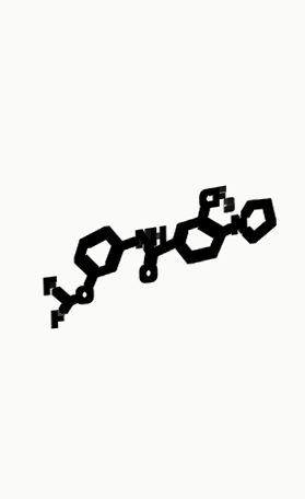 O=C(Nc1cccc(OC(F)F)c1)c1ccc(N2CCCC2)c(C(F)(F)F)c1